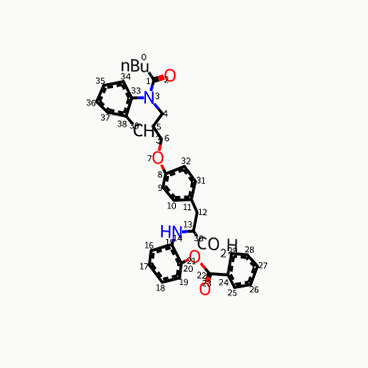 CCCCC(=O)N(CCCOc1ccc(CC(Nc2ccccc2OC(=O)c2ccccc2)C(=O)O)cc1)c1ccccc1C